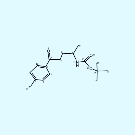 CC(CCC(=O)c1ccc(F)cc1)NC(=O)OC(C)(C)C